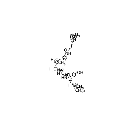 CC(CCOC(C)(C)CCn1cc(CNC(=O)CCCC#Cc2cnc(S(C)(=O)=O)nc2)nn1)CNC(=O)COCC(=O)N[C@@H](CCCCNC(=O)OC(C)(C)C)C(=O)Nc1ccc(CO)cc1